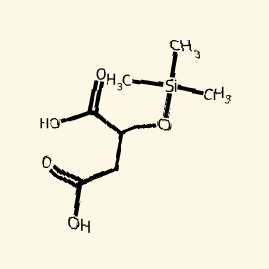 C[Si](C)(C)OC(CC(=O)O)C(=O)O